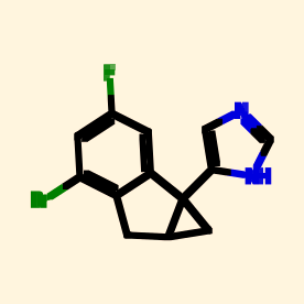 Fc1cc(Br)c2c(c1)C1(c3cnc[nH]3)CC1C2